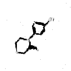 Cc1ccc(N2CCOCC2=O)cn1